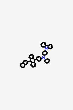 c1ccc(N(c2ccc(-c3c4ccccc4c(-c4ccc5ccccc5c4)c4ccccc34)cc2)c2ccc(-n3c4ccccc4c4ccccc43)cc2)cc1